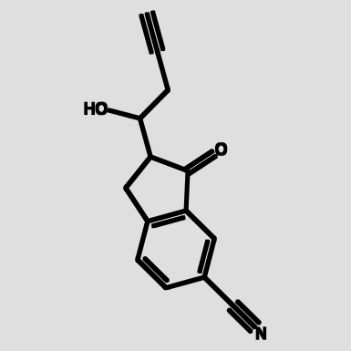 C#CCC(O)C1Cc2ccc(C#N)cc2C1=O